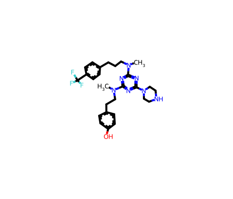 CN(CCCc1ccc(C(F)(F)F)cc1)c1nc(N(C)CCc2ccc(O)cc2)nc(N2CCNCC2)n1